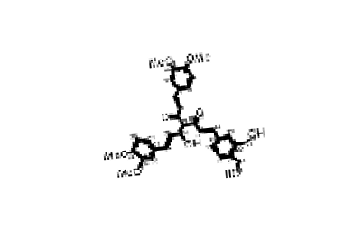 COc1ccc(/C=C/C(=O)/C(C(=O)/C=C/c2ccc(CO)c(CO)c2)=C(O)\C=C\c2ccc(OC)c(OC)c2)cc1OC